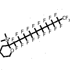 C[Si](C)(C)C1(C(F)(F)C(F)(F)C(F)(F)C(F)(F)C(F)(F)C(F)(F)C(F)(F)C(F)(F)C(F)(F)C(F)(F)F)CCCCO1